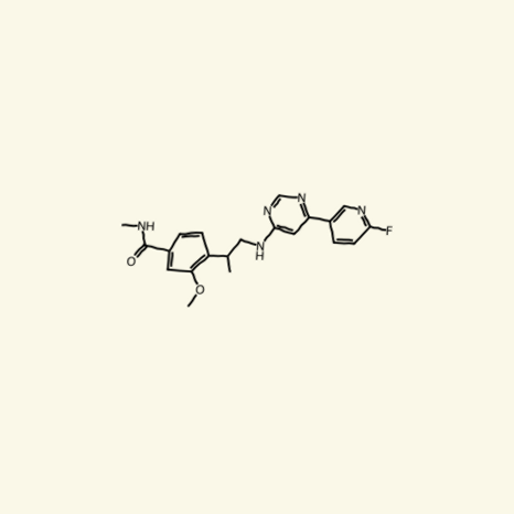 CNC(=O)c1ccc(C(C)CNc2cc(-c3ccc(F)nc3)ncn2)c(OC)c1